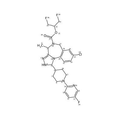 CC1C2=NNC(C3CCN(c4ccc(F)cn4)CC3)N2c2ccc(Cl)cc2CN1C(=O)OC(CF)CF